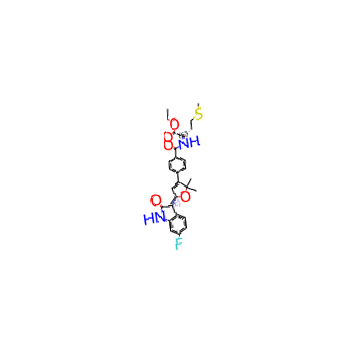 CCOC(=O)[C@H](CCSC)NC(=O)c1ccc(C2=C/C(=C3\C(=O)Nc4cc(F)ccc43)OC2(C)C)cc1